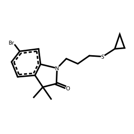 CC1(C)C(=O)N(CCCSC2CC2)c2cc(Br)ccc21